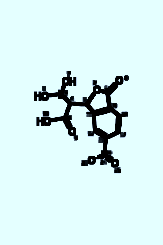 O=C1OC(C(B(O)O)C(=O)O)c2cc([N+](=O)[O-])ccc21